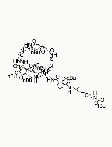 CCCCOc1c(C(=O)NCCOCCOCCNC(=O)OC(C)(C)C)cccc1C(=O)NCCN1CCNC(=O)c2ccc(c(OCCCC)c2OCCCC)C(=O)NCCN2CCNC(=O)c3ccc(c(OCCCC)c3OCCCC)C(=O)NCCN(CCNC(=O)c3ccc(c(OCCCC)c3OCCCC)C(=O)NCC2)CC1